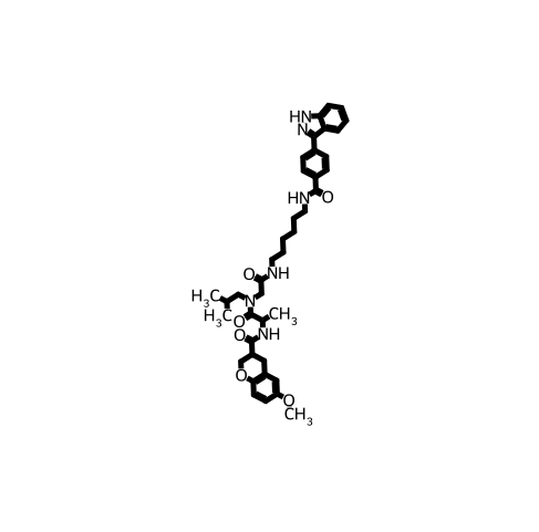 COc1ccc2c(c1)CC(C(=O)NC(C)C(=O)N(CC(=O)NCCCCCCNC(=O)c1ccc(-c3n[nH]c4ccccc34)cc1)CC(C)C)CO2